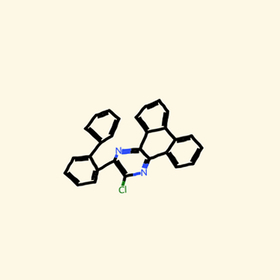 Clc1nc2c3ccccc3c3ccccc3c2nc1-c1ccccc1-c1ccccc1